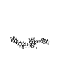 C[C@@H](CCCn1ccc2cc(-c3ncc(C(F)(F)F)cn3)ccc2c1=O)Nc1cnn(COCC[Si](C)(C)C)c(=O)c1C(F)(F)F